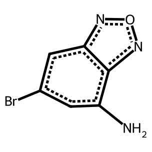 Nc1cc(Br)cc2nonc12